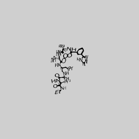 CCC[C@H](NC(=O)[C@@H](NC(=O)c1cccc(-c2nnn[nH]2)c1)[C@@H](C)CC)C(=O)N[C@H](CN[C@@H](C)C(=O)N[C@H](C(=O)NCC)C(C)C)CC(C)C